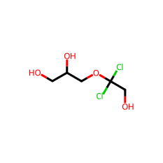 OCC(O)COC(Cl)(Cl)CO